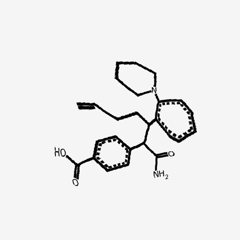 C=CCCC(c1ccccc1N1CCCCC1)C(C(N)=O)c1ccc(C(=O)O)cc1